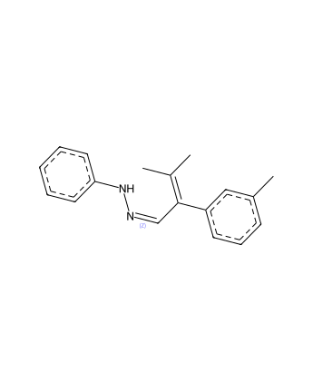 CC(C)=C(/C=N\Nc1ccccc1)c1cccc(C)c1